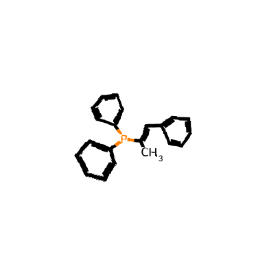 CC(=Cc1ccccc1)P(c1ccccc1)c1ccccc1